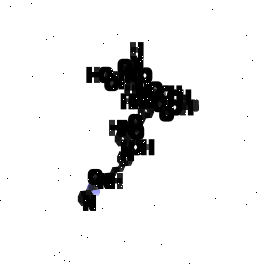 CCC(OC(Oc1ccc(COC(=O)Nc2cccc(C(O)N3CCC(CCCCNC(=O)/C=C/c4cccnc4)CC3)c2)cc1NC(=O)CCNC(=O)C1(NC(=O)CCC(=O)O)CNC1)[C@H](C)O)C(=O)O